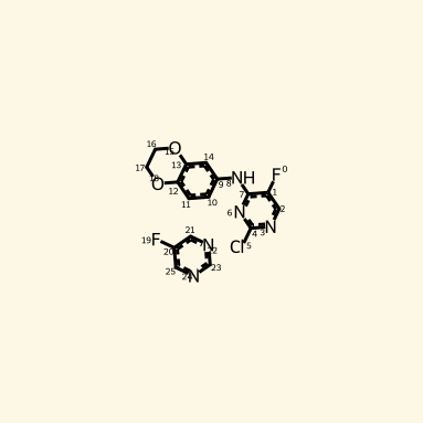 Fc1cnc(Cl)nc1Nc1ccc2c(c1)OCCO2.Fc1cncnc1